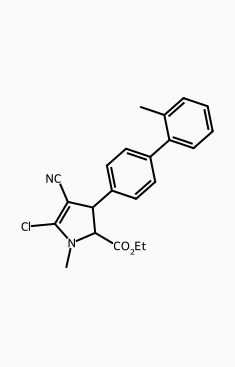 CCOC(=O)C1C(c2ccc(-c3ccccc3C)cc2)C(C#N)=C(Cl)N1C